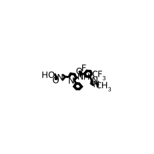 Cn1ccc(-c2cc(C(=O)Nc3ccc(C4CN(C(=O)CO)C4)nc3-c3ccccc3)c(F)cc2C(F)(F)F)n1